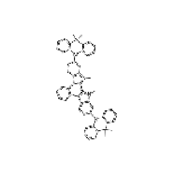 Cn1c2cc(N3c4ccccc4C(C)(C)c4ccccc43)ccc2c2c3ccccc3c3c4ccc(N5c6ccccc6C(C)(C)c6ccccc65)cc4n(C)c3c21